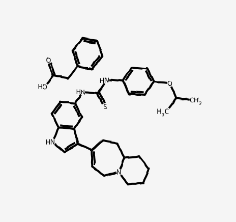 CC(C)Oc1ccc(NC(=S)Nc2ccc3[nH]cc(C4=CCN5CCCCC5CC4)c3c2)cc1.O=C(O)Cc1ccccc1